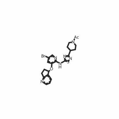 CC(=O)N1CCC(c2nsc(Nc3ncc(Br)cc3OC3CCc4ncccc43)n2)CC1